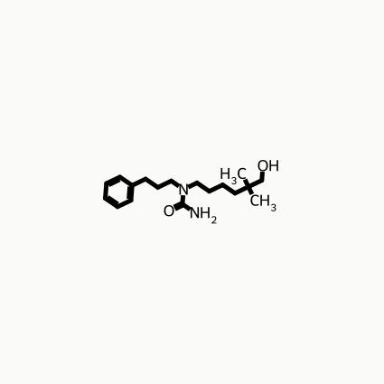 CC(C)(CO)CCCCN(CCCc1ccccc1)C(N)=O